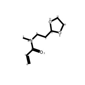 C=CC(=O)N(C)CCC1OCCO1